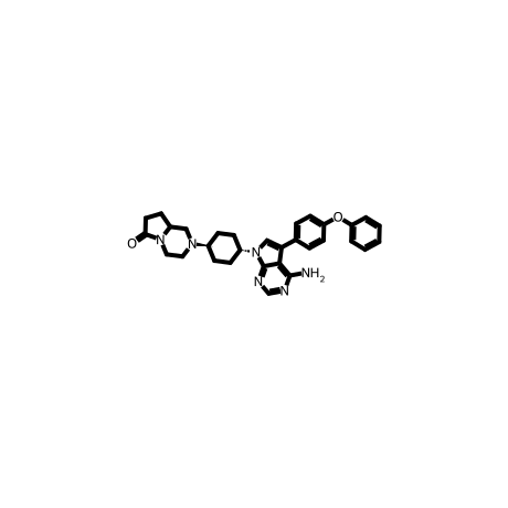 Nc1ncnc2c1c(-c1ccc(Oc3ccccc3)cc1)cn2[C@H]1CC[C@H](N2CCN3C(=O)CCC3C2)CC1